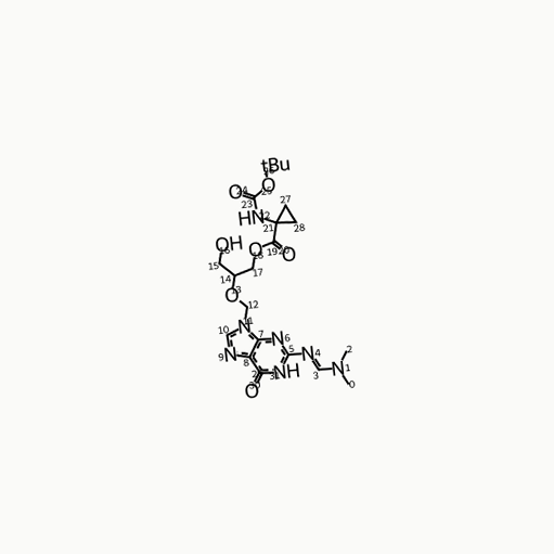 CN(C)C=Nc1nc2c(ncn2COC(CO)COC(=O)C2(NC(=O)OC(C)(C)C)CC2)c(=O)[nH]1